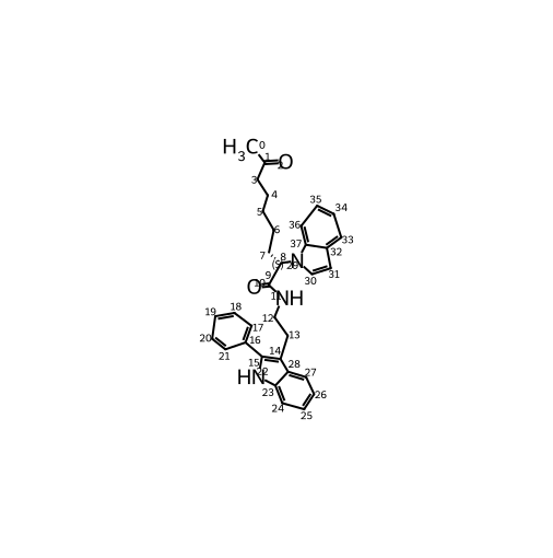 CC(=O)CCCCC[C@@H](C(=O)NCCc1c(-c2ccccc2)[nH]c2ccccc12)n1ccc2ccccc21